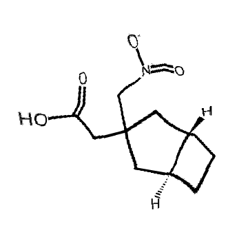 O=C(O)CC1(C[N+](=O)[O-])C[C@@H]2CC[C@H]2C1